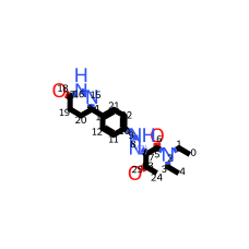 CCN(CC)C(=O)/C(=N\Nc1ccc(C2=NNC(=O)CC2)cc1)C(C)=O